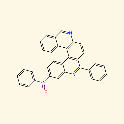 O=[PH](c1ccccc1)c1ccc2c(c1)nc(-c1ccccc1)c1ccc3ncc4ccccc4c3c12